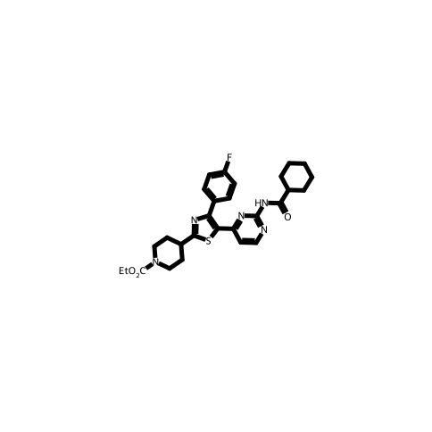 CCOC(=O)N1CCC(c2nc(-c3ccc(F)cc3)c(-c3ccnc(NC(=O)C4CCCCC4)n3)s2)CC1